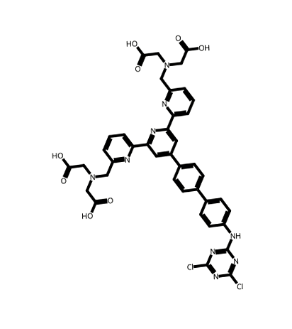 O=C(O)CN(CC(=O)O)Cc1cccc(-c2cc(-c3ccc(-c4ccc(Nc5nc(Cl)nc(Cl)n5)cc4)cc3)cc(-c3cccc(CN(CC(=O)O)CC(=O)O)n3)n2)n1